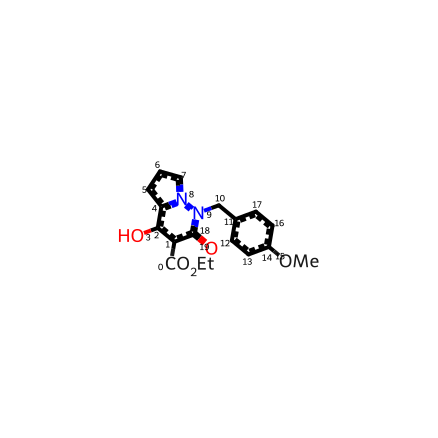 CCOC(=O)c1c(O)c2cccn2n(Cc2ccc(OC)cc2)c1=O